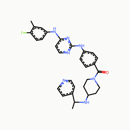 Cc1cc(Nc2ccnc(Nc3ccc(C(=O)N4CCC(NC(C)c5ccncc5)CC4)cc3)n2)ccc1F